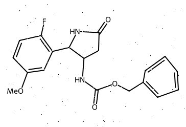 COc1ccc(F)c(C2NC(=O)CC2NC(=O)OCc2ccccc2)c1